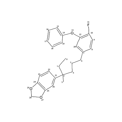 CCC(C)(CCCc1ccc(F)c(Oc2ccccc2)c1)c1ccc2c(c1)OCO2